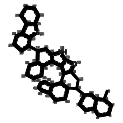 Cc1cccc2ccc(C3Cc4oc5[nH]c6cc(-c7cccc8c7sc7ccccc78)c7ccccc7c6c5c4-c4c3ccc3ccccc43)cc12